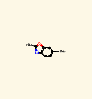 CCCCc1nc2ccc(NC)cc2o1